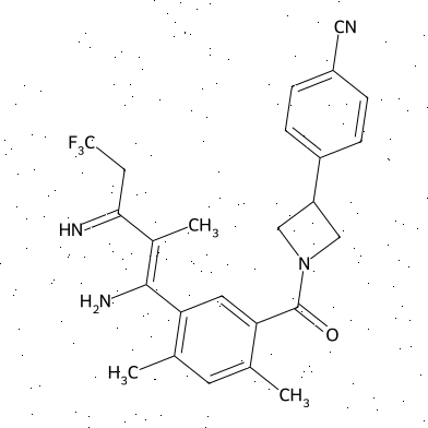 C/C(C(=N)CC(F)(F)F)=C(/N)c1cc(C(=O)N2CC(c3ccc(C#N)cc3)C2)c(C)cc1C